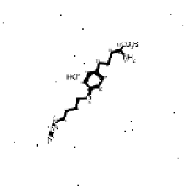 Cl.[N-]=[N+]=NCCCCOc1ccc(CCCC(N)C(=O)O)cc1